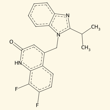 CC(C)c1nc2ccccc2n1Cc1cc(=O)[nH]c2c(F)c(F)ccc12